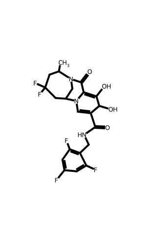 CC1CC(F)(F)CC2CN1C(=O)C1=C(O)C(O)C(C(=O)NCc3c(F)cc(F)cc3F)=CN12